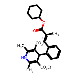 CCOC(=O)C1=C(C)NC(C)=C(C(=O)OCC)C1c1ccccc1/C=C(\C)C(=O)OC1CCCCC1